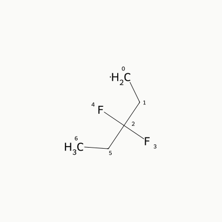 [CH2]CC(F)(F)CC